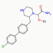 CCOC(C(N)=O)N1CCNCC1Cc1ccc(-c2ccc(Cl)cc2)cc1